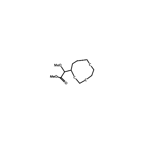 COC(=O)C(OC)C1CCCCCCCCC1